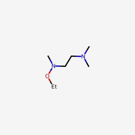 [CH2]CON(C)CCN(C)C